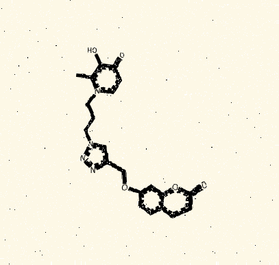 Cc1c(O)c(=O)ccn1CCCn1cc(COc2ccc3ccc(=O)oc3c2)nn1